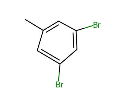 Cc1cc(Br)cc(Br)c1